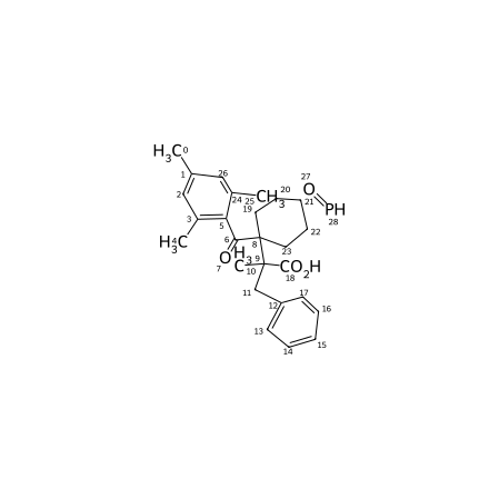 Cc1cc(C)c(C(=O)C2(C(C)(Cc3ccccc3)C(=O)O)CCCCC2)c(C)c1.O=P